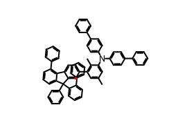 Cc1cc(-c2ccc3c(c2)C(c2ccccc2)(c2ccccc2-c2ccccc2)c2cccc(-c4ccccc4)c2-3)c(C)c(N(c2ccc(-c3ccccc3)cc2)c2ccc(-c3ccccc3)cc2)c1